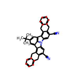 CC(C)(C)c1cc2c3c4c(c(C#N)cc3n3c5cc(C#N)c6c(c5c(c1)c23)C1c2ccccc2C6c2ccccc21)C1c2ccccc2C4c2ccccc21